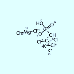 O=P([O-])(O)O.[Cl][Ca][Cl].[Cl][K].[Cl][Mg][Cl].[K+]